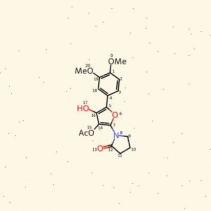 COc1ccc(-c2oc(N3CCCC3=O)c(OC(C)=O)c2O)cc1OC